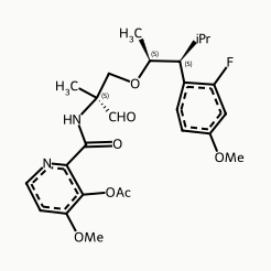 COc1ccc([C@H](C(C)C)[C@H](C)OC[C@@](C)(C=O)NC(=O)c2nccc(OC)c2OC(C)=O)c(F)c1